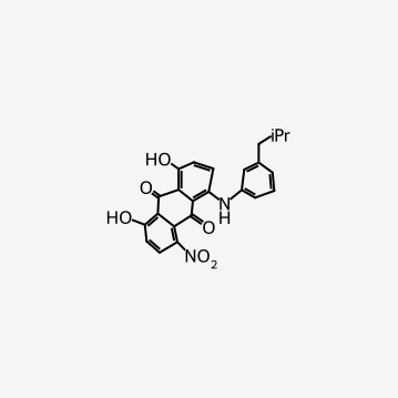 CC(C)Cc1cccc(Nc2ccc(O)c3c2C(=O)c2c([N+](=O)[O-])ccc(O)c2C3=O)c1